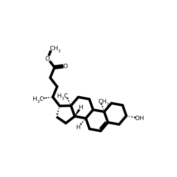 COC(=O)CC[C@@H](C)[C@H]1CC[C@H]2[C@@H]3CC=C4C[C@@H](O)CC[C@]4(C)C3CC[C@]12C